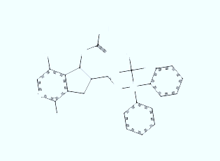 CC(=O)OC1c2c(Cl)cnc(Br)c2CC1CO[Si](c1ccccc1)(c1ccccc1)C(C)(C)C